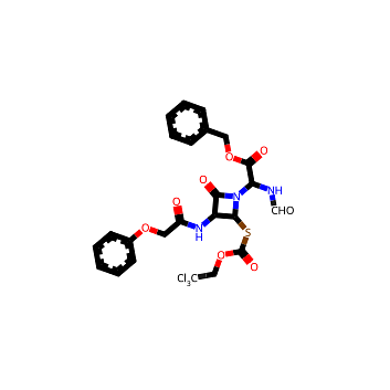 O=CNC(C(=O)OCc1ccccc1)N1C(=O)C(NC(=O)COc2ccccc2)C1SC(=O)OCC(Cl)(Cl)Cl